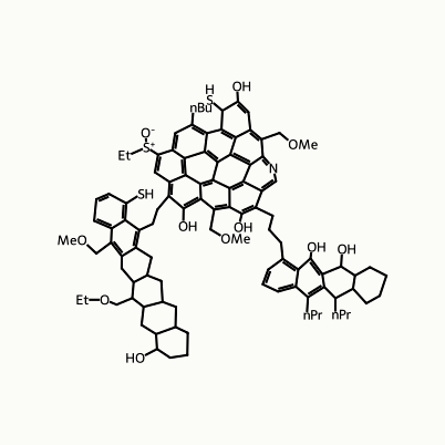 CCCCc1cc2c([S+]([O-])CC)cc3c(CCc4c5c(c(COC)c6cccc(S)c46)CC4C(C5)CC5CC6CCCC(O)C6CC5C4COCC)c(O)c4c(COC)c5c(O)c(CCCc6cccc7c(CCC)c8c(c(O)c67)C(O)C6CCCCC6C8CCC)c6cnc7c(COC)c8c9c(c1c1c2c3c4c2c5c6c7c9c12)C(S)C(O)=C8